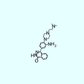 CN(C)CCN1CCN(c2ccc(-c3n[nH]c(=O)c4ccccc34)cc2N)CC1